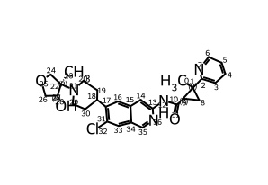 C[C@@]1(c2ccccn2)C[C@H]1C(=O)Nc1cc2cc(C3CCN([C@]4(C)COC[C@@H]4O)CC3)c(Cl)cc2cn1